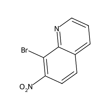 O=[N+]([O-])c1ccc2cccnc2c1Br